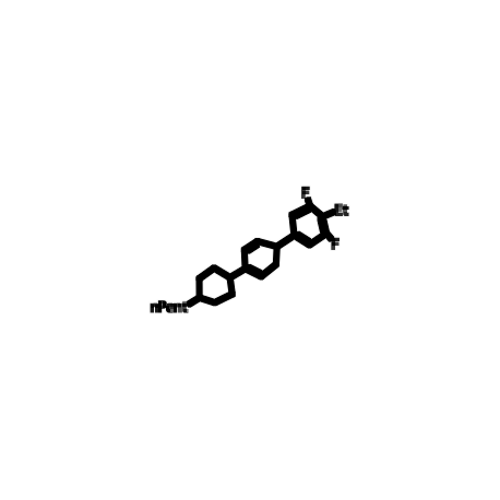 CCCCCC1CCC(C2=CCC(c3cc(F)c(CC)c(F)c3)C=C2)CC1